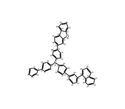 c1ccc(-c2ccc(N(c3ccc(-c4cccc(-c5cccc6ccccc56)c4)cc3)c3ccc(-c4ccc5c(c4)oc4ccccc45)cc3)cc2)cc1